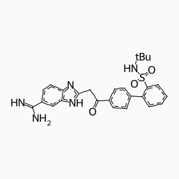 CC(C)(C)NS(=O)(=O)c1ccccc1-c1ccc(C(=O)Cc2nc3ccc(C(=N)N)cc3[nH]2)cc1